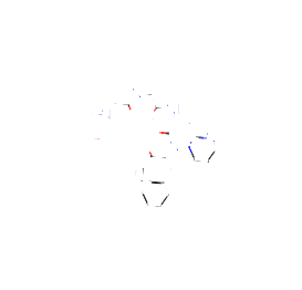 C[C@H](NC(=O)CN1CCOCC1)C(=O)N[C@@H](Cc1ccc(F)cn1)C(=O)N[C@@H](Cc1ccccc1)C(=O)[C@H]1CO1